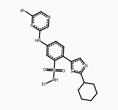 CCNS(=O)(=O)c1cc(Nc2cncc(C(C)C)n2)ccc1-c1cnc(C2CCCCC2)s1